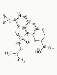 CC(C)CNS(=O)(=O)c1c2c(cc3cnc(C4CC4)cc13)CCC(C(=O)O)C2